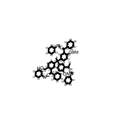 COc1ccc(C(C)(c2ccc(CO)c(C(=C=Nc3ccccc3)c3ccccc3)c2)c2ccc(OC)c(C(=C=Nc3ccccc3)c3ccccc3)c2)cc1C(C)=C=Nc1ccccc1